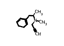 C#CCN(C)[C@H](C)CC1=CCCC=C1